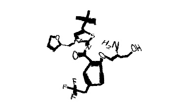 CC(C)(C)c1cn(C[C@H]2CCCO2)c(=NC(=O)c2cc(CC(F)(F)F)ccc2OC[C@H](N)CO)s1